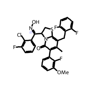 COc1cccc(-c2c(C)c(Cc3c(F)cccc3F)c3n(c2=O)C(/C(=N\O)c2cccc(F)c2Cl)CS3)c1F